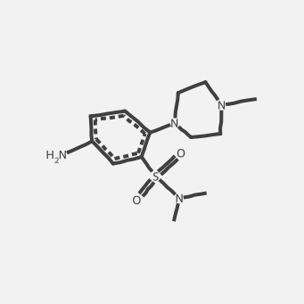 CN1CCN(c2ccc(N)cc2S(=O)(=O)N(C)C)CC1